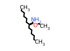 CCCCCCC(CCCCCC)=C(N)OCC